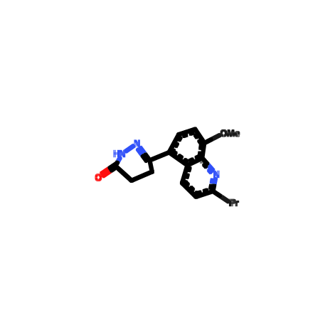 COc1ccc(C2=NNC(=O)CC2)c2ccc(C(C)C)nc12